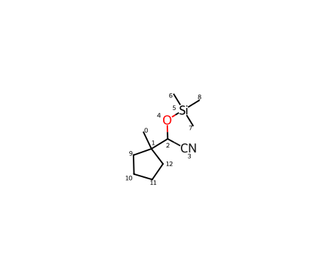 CC1(C(C#N)O[Si](C)(C)C)CCCC1